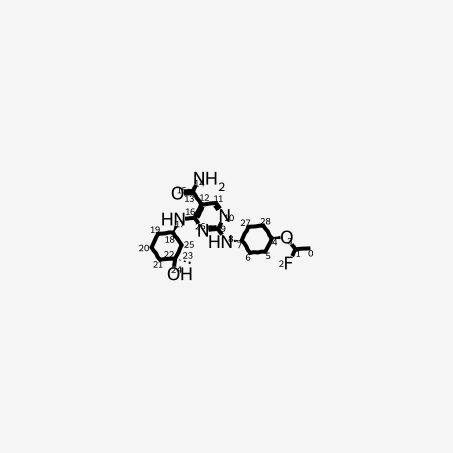 CC(F)O[C@H]1CC[C@H](Nc2ncc(C(N)=O)c(N[C@@H]3CCC[C@](C)(O)C3)n2)CC1